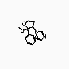 COC1(c2ccccc2)OCCC1n1cncn1